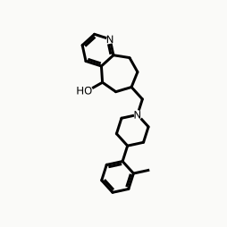 Cc1ccccc1C1CCN(CC2CCc3ncccc3C(O)C2)CC1